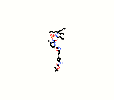 CCCCN(OS(=O)(=O)ON1C(=O)N2C[C@@H]1CC[C@H]2c1nnc(CC[C@H]2C[C@@H](NC(=O)OC(C)(C)C)C2)o1)C(CCC)(CCCC)CCCC